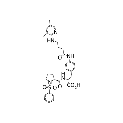 Cc1cnc(NCCCC(=O)Nc2ccc(CC(NC(=O)[C@@H]3CCCN3S(=O)(=O)c3ccccc3)C(=O)O)cc2)c(C)c1